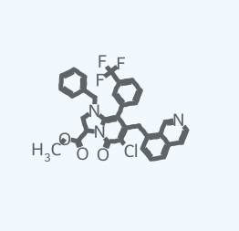 COC(=O)C1CN(Cc2ccccc2)c2c(-c3cccc(C(F)(F)F)c3)c(Cc3cccc4ccncc34)c(Cl)c(=O)n21